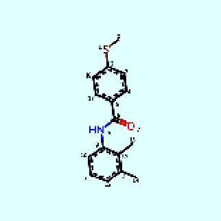 CSc1ccc(C(=O)Nc2cccc(C)c2C)cc1